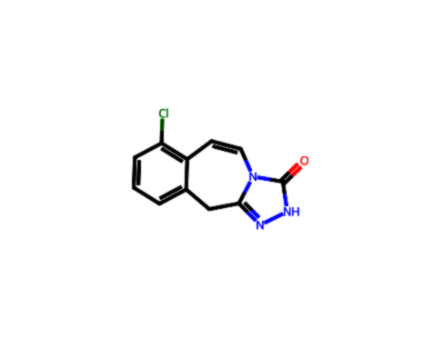 O=c1[nH]nc2n1C=Cc1c(Cl)cccc1C2